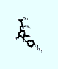 COc1ccc(Oc2c(Br)cc(C[C@H](N)C(=O)O)cc2Br)cc1